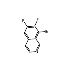 Fc1cc2ccncc2c(Br)c1F